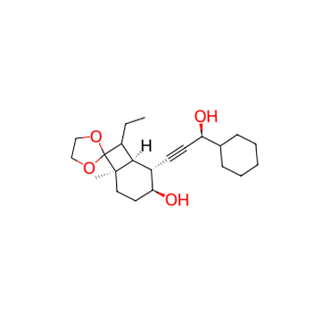 CCC1[C@H]2[C@H](C#C[C@@H](O)C3CCCCC3)[C@@H](O)CC[C@@]2(C)C12OCCO2